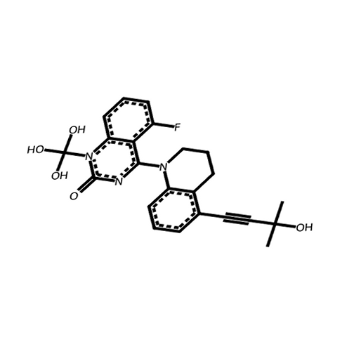 CC(C)(O)C#Cc1cccc2c1CCCN2c1nc(=O)n(C(O)(O)O)c2cccc(F)c12